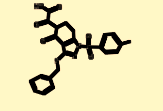 Cc1ccc(S(=O)(=O)n2nc(SCc3ccccc3)c3c2CCC(C(=O)C(=O)O)C3=O)cc1